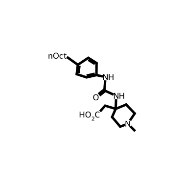 CCCCCCCCc1ccc(NC(=O)NC2(CC(=O)O)CCN(C)CC2)cc1